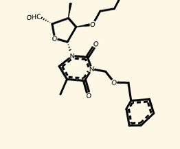 COCCO[C@@H]1[C@H](C)[C@@H](C=O)O[C@H]1n1cc(C)c(=O)n(COCc2ccccc2)c1=O